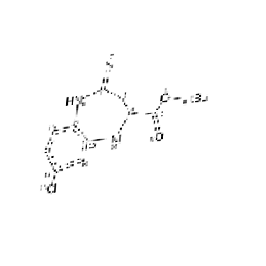 CC(C)(C)OC(=O)C1CC(=S)Nc2ccc(Cl)cc2N1